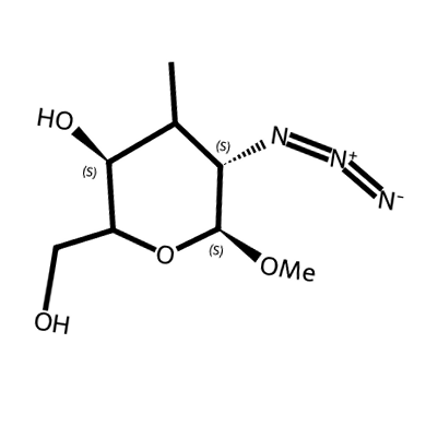 CO[C@H]1OC(CO)[C@@H](O)C(C)[C@@H]1N=[N+]=[N-]